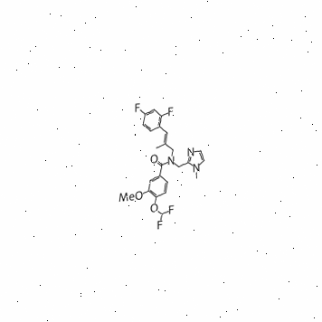 COc1cc(C(=O)N(C/C(C)=C/c2ccc(F)cc2F)Cc2nccn2C)ccc1OC(F)F